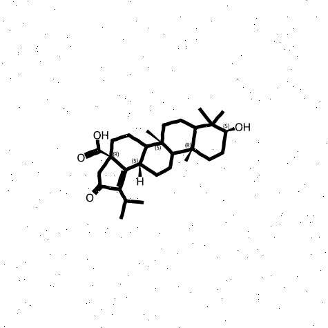 CC(C)C1=C2[C@H]3CCC4[C@@](C)(CCC5C(C)(C)[C@@H](O)CC[C@@]54C)C3CC[C@@]2(C(=O)O)CC1=O